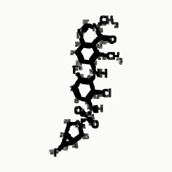 Cc1c(Nc2c(F)ccc(NS(=O)(=O)N3CC4C(F)C4C3)c2Cl)ccc2ncn(C)c(=O)c12